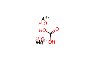 O.O.O=C(O)O.[Al+3].[Mg+2]